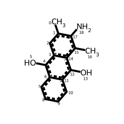 Cc1cc2c(O)c3ccccc3c(O)c2c(C)c1N